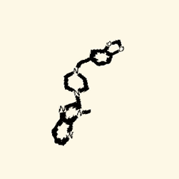 Cn1c(N2CCN(Cc3ccc4c(c3)OCO4)CC2)nc2cccnc21